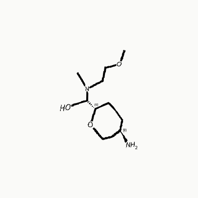 COCCN(C)C(O)[C@@H]1CC[C@@H](N)CO1